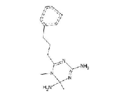 CN1C(CCCc2ccccc2)=NC(N)=NC1(C)N